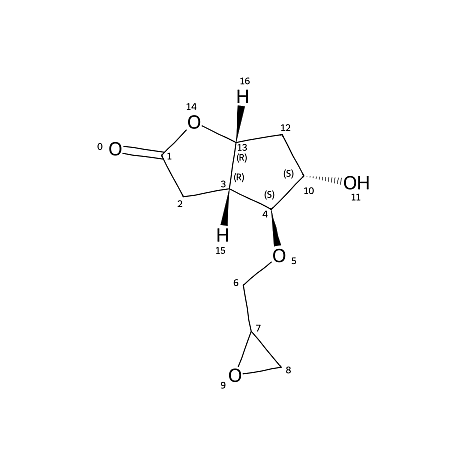 O=C1C[C@H]2[C@H](OCC3CO3)[C@@H](O)C[C@H]2O1